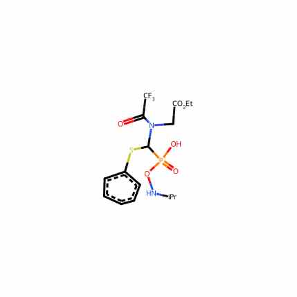 CCOC(=O)CN(C(=O)C(F)(F)F)C(Sc1ccccc1)P(=O)(O)ONC(C)C